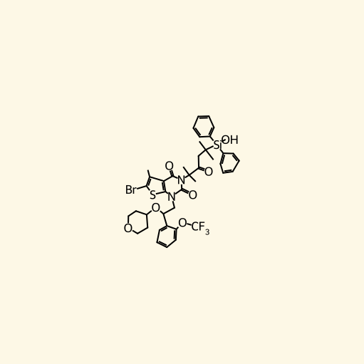 Cc1c(Br)sc2c1c(=O)n(C(C)(C)C(=O)CC(C)(C)[Si](O)(c1ccccc1)c1ccccc1)c(=O)n2CC(OC1CCOCC1)c1ccccc1OC(F)(F)F